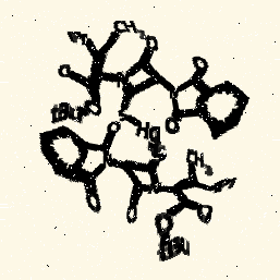 CC(=C(C(=O)OC(C)(C)C)N1C(=O)C(N2C(=O)c3ccccc3C2=O)C1[S][Hg][S]C1C(N2C(=O)c3ccccc3C2=O)C(=O)N1C(C(=O)OC(C)(C)C)=C(C)C(C)C)C(C)C